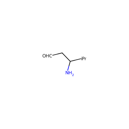 CC(C)C(N)CC=O